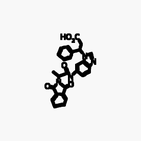 CC(C(=O)Nc1ccc2ncn(C(CC(=O)O)c3ccccc3)c2c1)N1C(=O)c2ccccc2C1=O